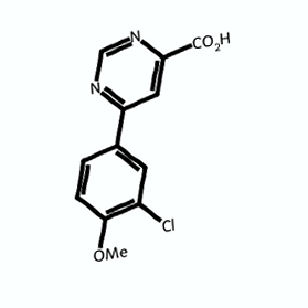 COc1ccc(-c2cc(C(=O)O)ncn2)cc1Cl